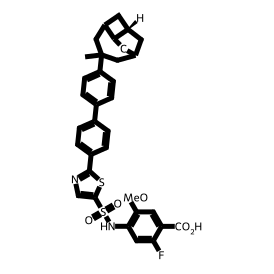 COc1cc(C(=O)O)c(F)cc1NS(=O)(=O)c1cnc(-c2ccc(-c3ccc(C4(C)CC5CC6C(C[C@@H]6C5)C4)cc3)cc2)s1